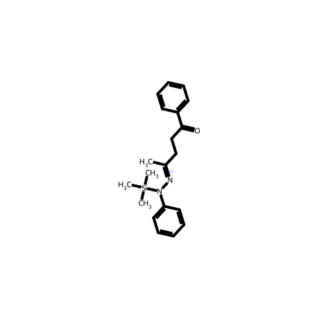 C/C(CCC(=O)c1ccccc1)=N\N(c1ccccc1)[Si](C)(C)C